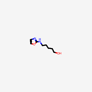 OCCCCCNc1ncco1